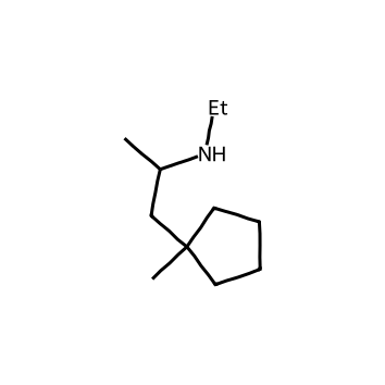 CCNC(C)CC1(C)CCCC1